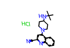 CC(C)(C)NC1CCN(c2cc(C#N)nc3ccccc23)CC1.Cl